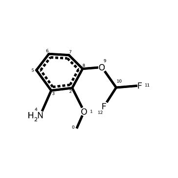 COc1c(N)cccc1OC(F)F